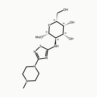 CO[C@@H]1O[C@H](CO)[C@H](O)[C@H](O)[C@H]1Nc1nc(N2CCN(C)CC2)ns1